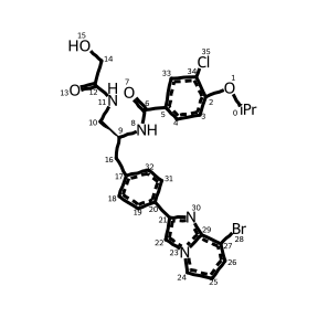 CC(C)Oc1ccc(C(=O)N[C@H](CNC(=O)CO)Cc2ccc(-c3cn4cccc(Br)c4n3)cc2)cc1Cl